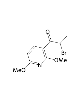 COc1ccc(C(=O)C(C)Br)c(OC)n1